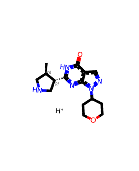 C[C@@H]1CNC[C@H]1c1nc2c(cnn2C2CCOCC2)c(=O)[nH]1.[H+]